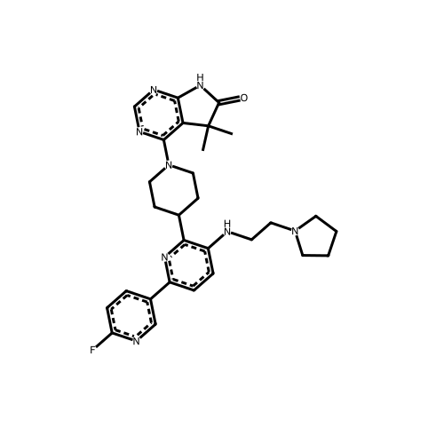 CC1(C)C(=O)Nc2ncnc(N3CCC(c4nc(-c5ccc(F)nc5)ccc4NCCN4CCCC4)CC3)c21